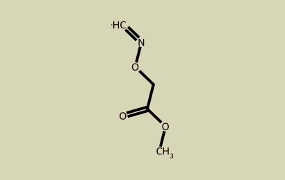 [CH]=NOCC(=O)OC